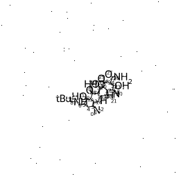 CN(C)c1cc(CNCC(C)(C)C)c(O)c2c1C[C@H]1C[C@H]3C(N(C)C)C(O)=C(C(N)=O)C(=O)[C@@]3(O)C(O)=C1C2=O